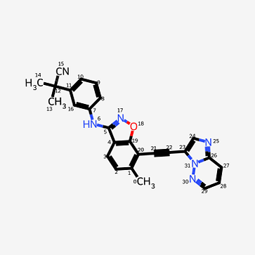 Cc1ccc2c(Nc3cccc(C(C)(C)C#N)c3)noc2c1C#Cc1cnc2cccnn12